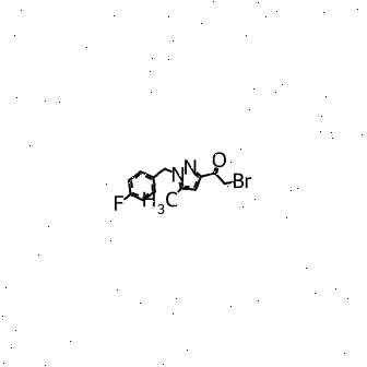 Cc1cc(C(=O)CBr)nn1Cc1ccc(F)cc1